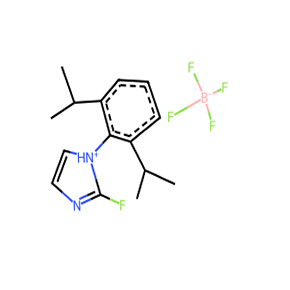 CC(C)c1cccc(C(C)C)c1[NH+]1C=CN=C1F.F[B-](F)(F)F